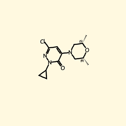 C[C@@H]1CN(c2cc(Cl)nn(C3CC3)c2=O)C[C@H](C)O1